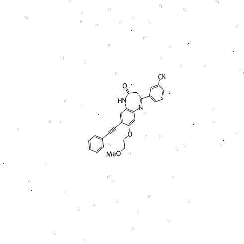 COCCOc1cc2c(cc1C#Cc1ccccc1)NC(=O)CC(c1cccc(C#N)c1)=N2